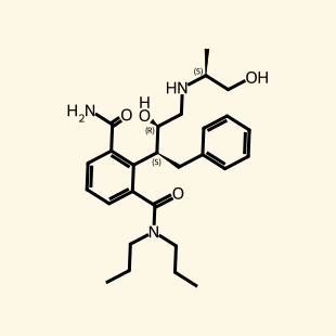 CCCN(CCC)C(=O)c1cccc(C(N)=O)c1[C@H](Cc1ccccc1)[C@@H](O)CN[C@@H](C)CO